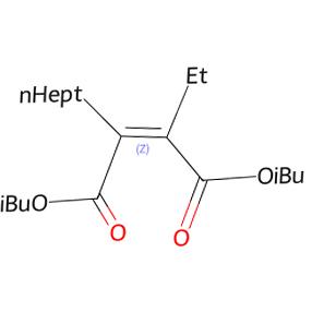 CCCCCCC/C(C(=O)OCC(C)C)=C(\CC)C(=O)OCC(C)C